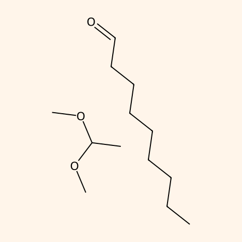 CCCCCCCCC=O.COC(C)OC